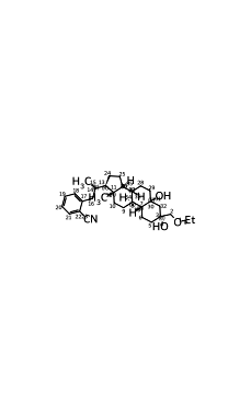 CCOC[C@@]1(O)CC[C@@H]2[C@H]3CC[C@]4(C)[C@@H]([C@H](C)Cc5ccccc5C#N)CC[C@H]4[C@@H]3CC[C@]2(O)C1